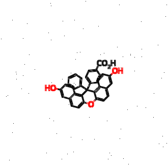 O=C(O)c1ccc(C2(c3ccccc3)c3c(ccc4cc(O)ccc34)Oc3ccc4cc(O)ccc4c32)cc1